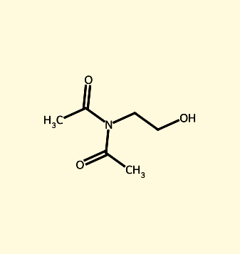 CC(=O)N(CCO)C(C)=O